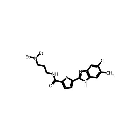 CCN(CC)CCCNC(=O)c1ccc(-c2nc3cc(Cl)c(C)cc3[nH]2)s1